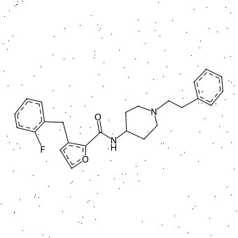 O=C(NC1CCN(CCc2ccccc2)CC1)c1occc1Cc1ccccc1F